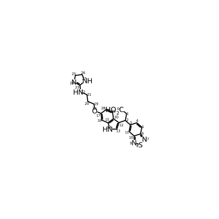 O=C(O)CC(c1ccc2nsnc2c1)c1c[nH]c2cc(OCCCNC3=NCCN3)ccc12